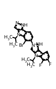 CC(C)n1c2c[n+](-c3ccc4c5[nH]ncc5n(C(C)C)c4c3Br)[nH]c2c2ccc(F)c(F)c21